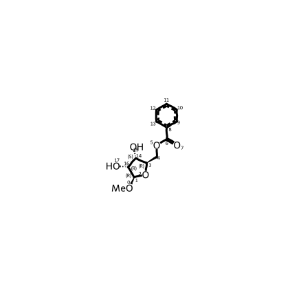 CO[C@@H]1O[C@H](COC(=O)c2ccccc2)[C@@H](O)[C@H]1O